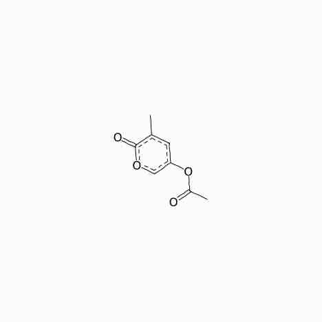 CC(=O)Oc1coc(=O)c(C)c1